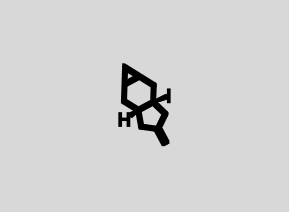 C=C1C[C@@H]2CC3CC3C[C@]2(I)C1